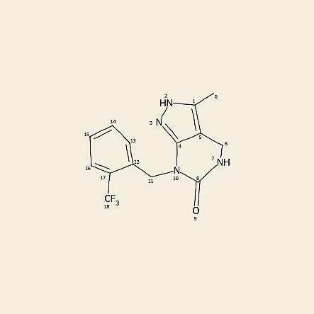 Cc1[nH]nc2c1CNC(=O)N2Cc1ccccc1C(F)(F)F